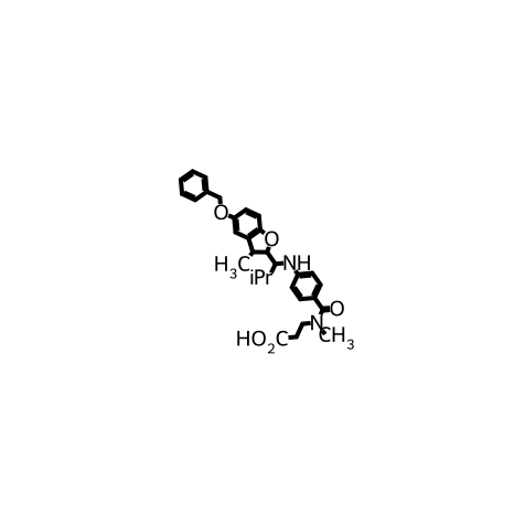 CC(C)C(Nc1ccc(C(=O)N(C)CCC(=O)O)cc1)C1Oc2ccc(OCc3ccccc3)cc2C1C